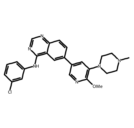 COc1ncc(-c2ccc3ncnc(Nc4cccc(Cl)c4)c3c2)cc1N1CCN(C)CC1